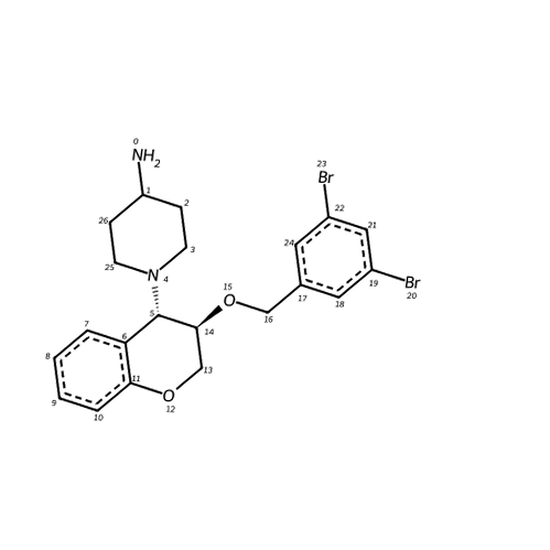 NC1CCN([C@H]2c3ccccc3OC[C@@H]2OCc2cc(Br)cc(Br)c2)CC1